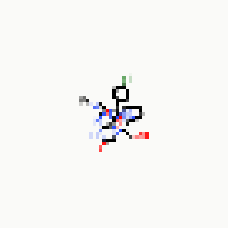 CC(C)NCC[C@@H](C(=O)N1C2CCC1CN(c1ncnc3c1N(CCO)CC(=O)N3)C2)c1ccc(Cl)cc1